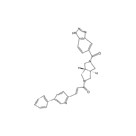 O=C(C=Cc1ccc(-c2ccccc2)cn1)N1C[C@@H]2CN(C(=O)c3ccc4[nH]nnc4c3)C[C@H]2C1